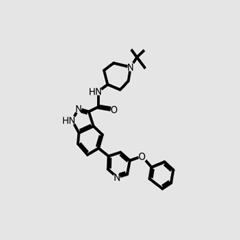 CC(C)(C)N1CCC(NC(=O)c2n[nH]c3ccc(-c4cncc(Oc5ccccc5)c4)cc23)CC1